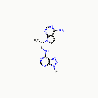 CC(CNc1ncnc2c1nnn2C(C)C)n1ccc2c(N)ncnc21